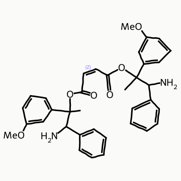 COc1cccc(C(C)(OC(=O)/C=C\C(=O)OC(C)(c2cccc(OC)c2)C(N)c2ccccc2)C(N)c2ccccc2)c1